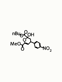 CCCCOC(=O)C1(O)CC(c2ccc([N+](=O)[O-])cc2)C=C(C(=O)OC)O1